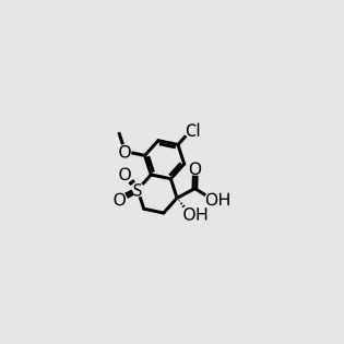 COc1cc(Cl)cc2c1S(=O)(=O)CC[C@]2(O)C(=O)O